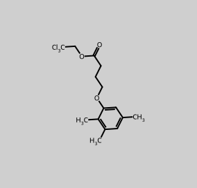 Cc1cc(C)c(C)c(OCCCC(=O)OCC(Cl)(Cl)Cl)c1